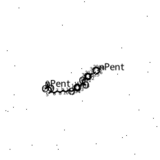 CCCCCC(=O)OC(C)CCCCCCOc1ccc(C(=O)Oc2ccc(C3CCC(CCCCC)CC3)cc2)cc1